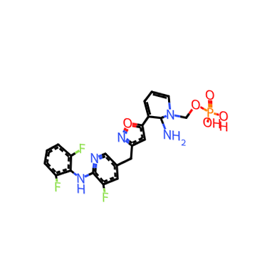 NC1C(c2cc(Cc3cnc(Nc4c(F)cccc4F)c(F)c3)no2)=CC=CN1COP(=O)(O)O